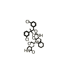 CC(C)(c1cccc(Cl)c1)C(OC(=O)N[C@@H](CC1CCCCC1)C(=O)N[C@H](C=O)C[C@@H]1CCNC1=O)c1cccc(Cl)c1